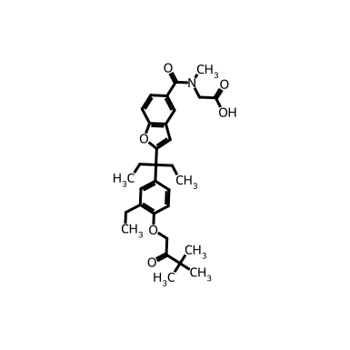 CCc1cc(C(CC)(CC)c2cc3cc(C(=O)N(C)CC(=O)O)ccc3o2)ccc1OCC(=O)C(C)(C)C